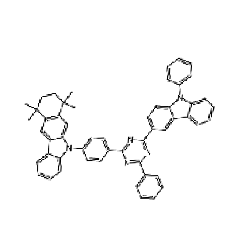 CC1(C)CCC(C)(C)c2cc3c(cc21)c1ccccc1n3-c1ccc(-c2nc(-c3ccccc3)nc(-c3ccc4c(c3)c3ccccc3n4-c3ccccc3)n2)cc1